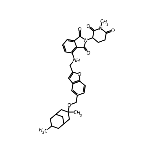 CC1CC2CC(C1)CC(C)(OCc1ccc3oc(CNc4cccc5c4C(=O)N(C4CCC(=O)N(C)C4=O)C5=O)cc3c1)C2